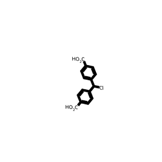 O=C(O)c1ccc(C(Cl)c2ccc(C(=O)O)cc2)cc1